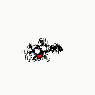 C/C1=C2N=C(/C=C3N=C(/C(C)=C4/[C@@H](CCC(N)=O)[C@](C)(CC(N)=O)[C@](C)([C@@H]5N=C1[C@](C)(CCC(=O)NCC(C)OP(=O)([O-])O[C@H]1[C@@H](O)[C@@H](n6cnc7cc(C)c(C)cc76)O[C@@H]1CO)[C@H]5CC(N)=O)[N]4[Co+][C]#N)[C@@](C)(CC(N)=O)[C@@H]\3CCC(N)=O)C(C)(C)[C@@H]/2CCC(N)=O.O=[Si](O)O